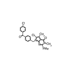 CSc1nc2c(c(C)c(Cl)n2Cc2ccc(C(=O)c3ccc(Cl)cc3)cc2)c(=O)n1C